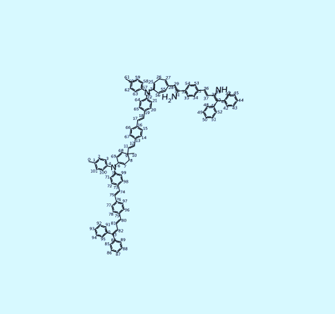 Cc1ccc(N(C2=CCC(C)(/C=C/c3ccc(/C=C/c4ccc(N(C5=CCC=C(/C=C(\N)c6ccc(/C=C/C(N)=C(c7ccccc7)c7ccccc7)cc6)C=C5)c5ccc(C)cc5)cc4)cc3)C=C2)c2ccc(/C=C/c3ccc(/C=C/C=C(c4ccccc4)c4ccccc4)cc3)cc2)cc1